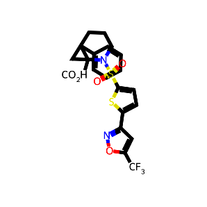 O=C(O)C12CC1(c1ccccc1)CCCN2S(=O)(=O)c1ccc(-c2cc(C(F)(F)F)on2)s1